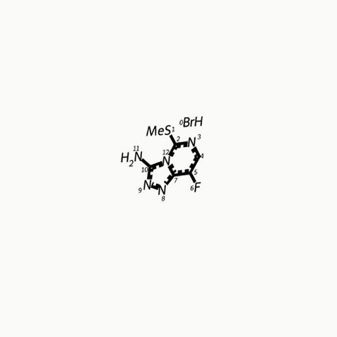 Br.CSc1ncc(F)c2nnc(N)n12